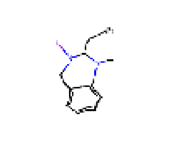 CC(C)C[C@H]1N(I)Cc2ccccc2N1C